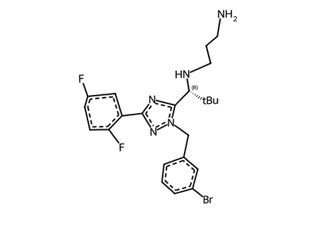 CC(C)(C)[C@@H](NCCCN)c1nc(-c2cc(F)ccc2F)nn1Cc1cccc(Br)c1